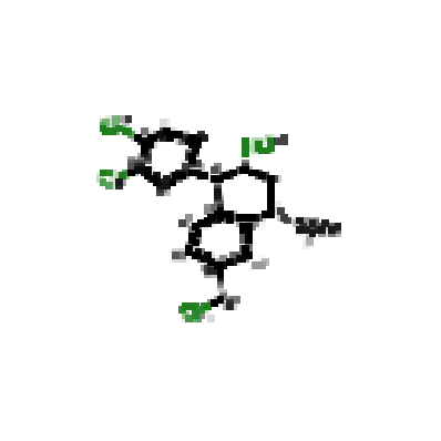 CN[C@H]1CCC(c2ccc(Cl)c(Cl)c2)c2ccc(CCl)cc21.Cl